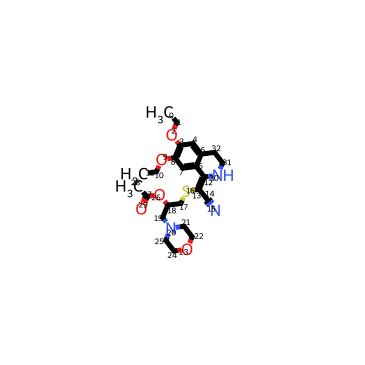 CCOc1cc2c(cc1OCC)C(=C(C#N)SCC(CN1CCOCC1)OC(C)=O)NCC2